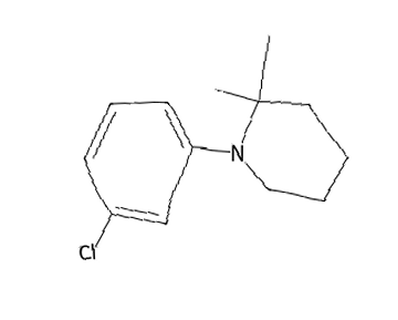 CC1(C)CCCCN1c1cccc(Cl)c1